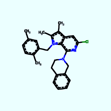 Cc1ccc(C)c(Cn2c(C)c(C)c3cc(Cl)nc(N4CCc5ccccc5C4)c32)c1